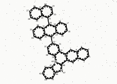 c1ccc2cc3c(cc2c1)c1cc(-c2c4ccccc4c(-c4cccc5ccccc45)c4ccccc24)ccc1n1c2ccccc2nc31